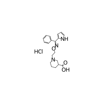 Cl.O=C(O)C1CCCN(CCO/N=C(\c2ccccc2)c2ccc[nH]2)C1